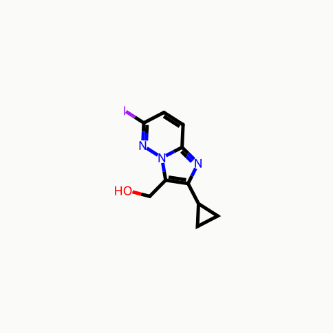 OCc1c(C2CC2)nc2ccc(I)nn12